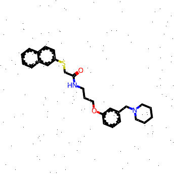 O=C(CSc1ccc2ccccc2c1)NCCCOc1cccc(CN2CCCCC2)c1